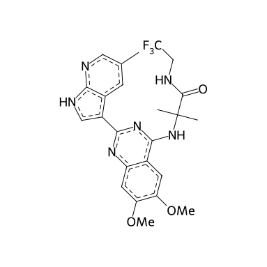 COc1cc2nc(-c3c[nH]c4ncc(C)cc34)nc(NC(C)(C)C(=O)NCC(F)(F)F)c2cc1OC